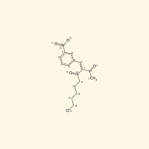 CC(=O)C(=Cc1cccc([N+](=O)[O-])c1)C(=O)CCCCCCl